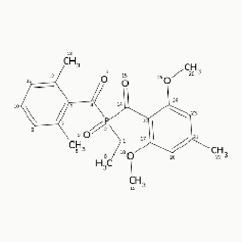 CCP(=O)(C(=O)c1c(C)cccc1C)C(=O)c1c(OC)cc(C)cc1OC